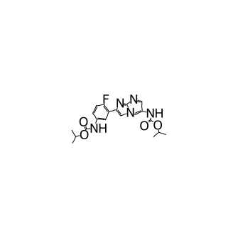 CC(C)OC(=O)Nc1ccc(F)c(-c2cn3cc(NC(=O)OC(C)C)cnc3n2)c1